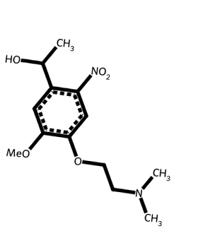 COc1cc(C(C)O)c([N+](=O)[O-])cc1OCCN(C)C